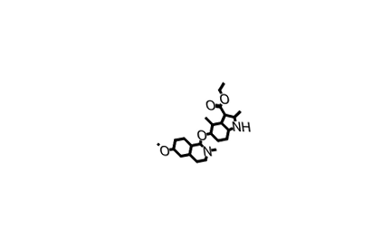 CCOC(=O)C1C(C)NC2CCC(OC3C4CCC(OC)CC4CCN3C)C(C)C21